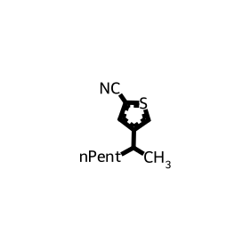 CCCCCC(C)c1csc(C#N)c1